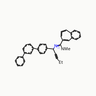 CCC#CC(/N=C(\NC)C1=Cc2ccccc2C=C=C1)c1ccc(-c2cccc(-c3ccccc3)c2)cc1